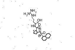 NC(N)NCCC[C@H](NC(=O)c1sccc1NS(=O)(=O)c1cccc2ccccc12)C(=O)O